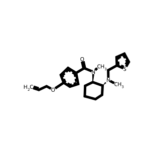 C=CCOc1ccc(C(=O)N(C)[C@@H]2CCCC[C@H]2N(C)Cc2cccs2)cc1